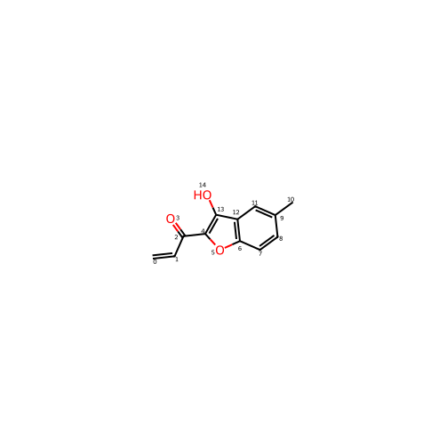 C=CC(=O)c1oc2ccc(C)cc2c1O